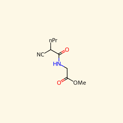 CCCC(C#N)C(=O)NCC(=O)OC